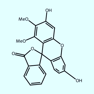 COc1c(O)cc2c(c1OC)C1(OC(=O)c3ccccc31)c1ccc(O)cc1O2